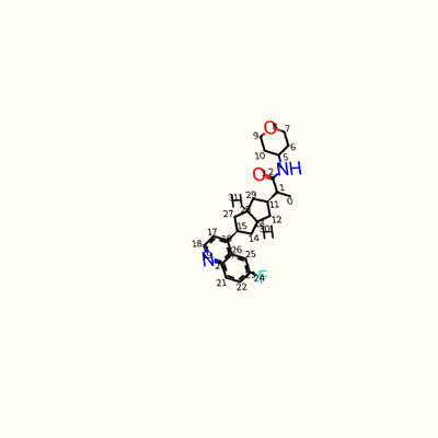 CC(C(=O)NC1CCOCC1)[C@H]1C[C@H]2C[C@@H](c3ccnc4ccc(F)cc34)C[C@H]2C1